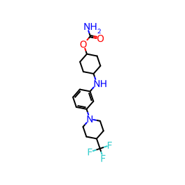 NC(=O)OC1CCC(Nc2cccc(N3CCC(C(F)(F)F)CC3)c2)CC1